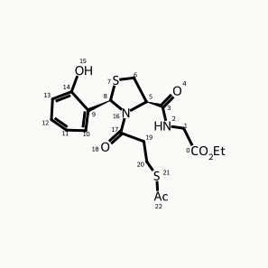 CCOC(=O)CNC(=O)[C@@H]1CS[C@H](c2ccccc2O)N1C(=O)CCSC(C)=O